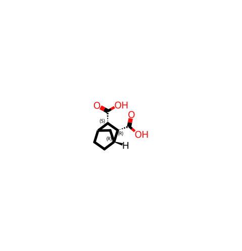 O=C(O)[C@@H]1[C@@H]2CCC(C2)[C@@H]1C(=O)O